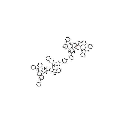 c1ccc(-c2ccc(-c3nc(-c4cc(-n5c6ccc(-c7ccc(-c8cccc(-c9nc(-c%10cc(-n%11c%12ccccc%12c%12cc%13ccccc%13cc%12%11)c%11c(c%10)oc%10ccccc%10%11)nc(-c%10cccc%11c%12ccccc%12n(-c%12ccccc%12)c%10%11)n9)c8)cc7)cc6c6cc7ccccc7cc65)c5c(c4)oc4ccccc45)nc(-c4cccc5c6ccccc6n(-c6ccccc6)c45)n3)cc2)cc1